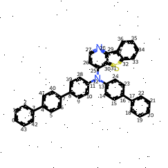 c1ccc(-c2ccc(-c3ccc(N(c4ccc(-c5ccccc5)cc4)c4ccnc5c4sc4ccccc45)cc3)cc2)cc1